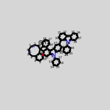 C=C1/C=C\C=C/Cc2ccccc2C1(c1ccccc1)c1ccc2c(c1)c1cc(-c3cccc4c5ccccc5n(-c5ccccc5)c34)ccc1n2-c1ccccc1